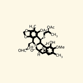 COc1c(C)cc2c(c1O)[C@@H]1C3[C@H](SC[C@H](C)OC(C)=O)c4c(OC(C)=O)c(C)c5c(c4[C@H](COC=O)N3[C@@H](O)[C@H](C2)N1C)OCO5